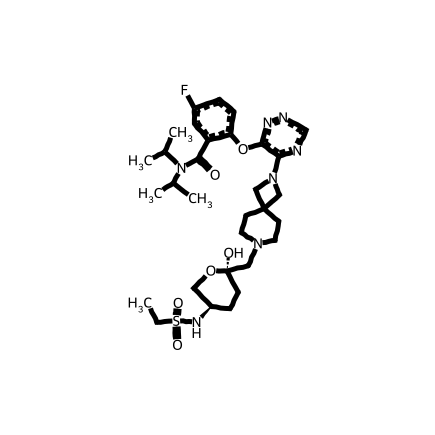 CCS(=O)(=O)N[C@@H]1CC[C@](O)(CN2CCC3(CC2)CN(c2ncnnc2Oc2ccc(F)cc2C(=O)N(C(C)C)C(C)C)C3)OC1